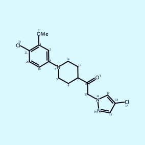 COc1cc(N2CCC(C(=O)Cn3cc(Cl)cn3)CC2)ccc1Cl